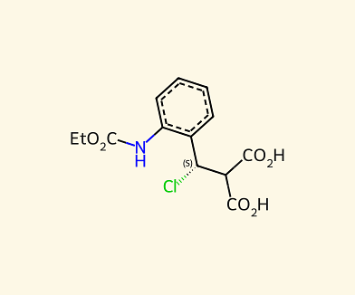 CCOC(=O)Nc1ccccc1[C@@H](Cl)C(C(=O)O)C(=O)O